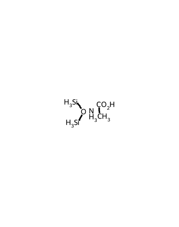 CC(=O)O.N.[SiH3]O[SiH3]